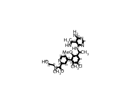 COc1c(C(C)Nc2ncnc(N)c2C(C)=N)cc(Cl)c(C)c1-c1ccnc(C(=O)N(C)CCO)c1